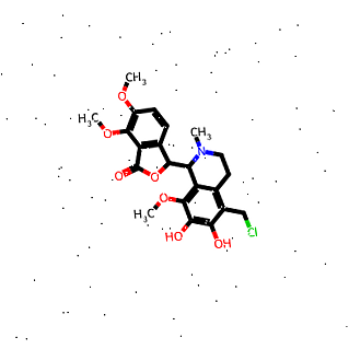 COc1ccc2c(c1OC)C(=O)OC2C1c2c(c(CCl)c(O)c(O)c2OC)CCN1C